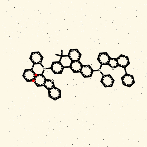 CC1(C)c2cc(N(c3ccccc3-c3ccccc3)c3cccc4c3oc3ccccc34)ccc2-c2cc3ccc(N(c4ccccc4)c4cccc5c4oc4c(-c6ccccc6)cccc45)cc3c3cccc1c23